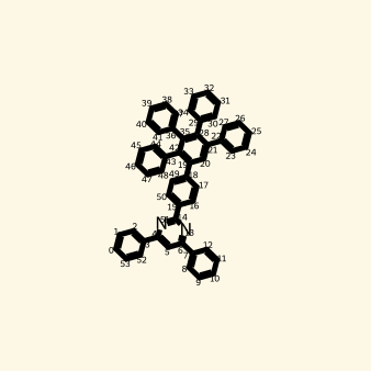 c1ccc(-c2cc(-c3ccccc3)nc(-c3ccc(-c4cc(-c5ccccc5)c(-c5ccccc5)c(-c5ccccc5)c4-c4ccccc4)cc3)n2)cc1